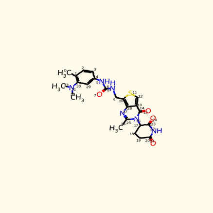 Cc1ccc(NC(=O)NCc2scc3c(=O)n(C4CCC(=O)NC4=O)c(C)nc23)cc1N(C)C